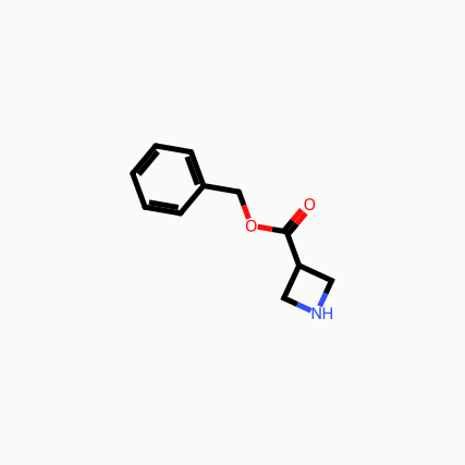 O=C(OCc1ccccc1)C1CNC1